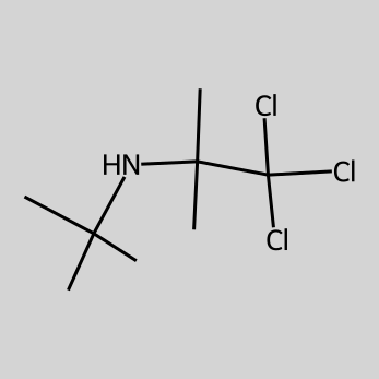 CC(C)(C)NC(C)(C)C(Cl)(Cl)Cl